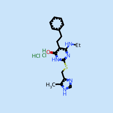 CCNc1nc(SCc2nc[nH]c2C)[nH]c(=O)c1CCc1ccccc1.Cl.Cl